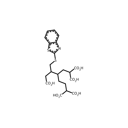 O=C(O)CC(CSc1nc2ccccc2s1)C(CCC(C(=O)O)C(=O)O)CC(C(=O)O)C(=O)O